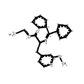 CCOC(=O)C(Cc1ccnc(OC)c1)N=C(c1ccccc1)c1ccccc1